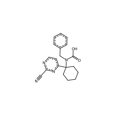 N#Cc1nccc(C2(N(Cc3ccccc3)C(=O)O)CCCCC2)n1